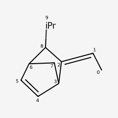 CC=C1C2C=CC(C2)C1C(C)C